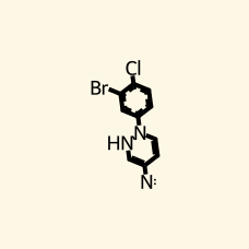 [N]C1=CNN(c2ccc(Cl)c(Br)c2)C=C1